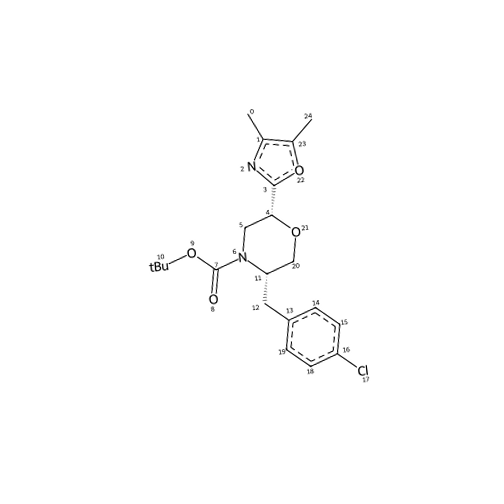 Cc1nc([C@H]2CN(C(=O)OC(C)(C)C)[C@@H](Cc3ccc(Cl)cc3)CO2)oc1C